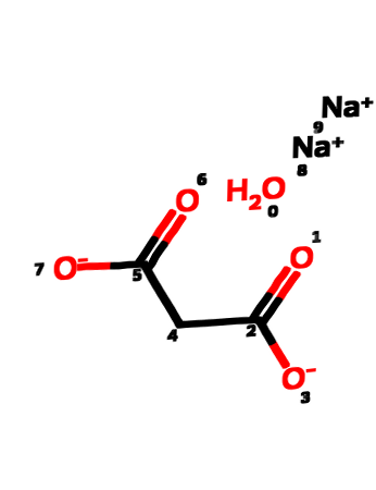 O.O=C([O-])CC(=O)[O-].[Na+].[Na+]